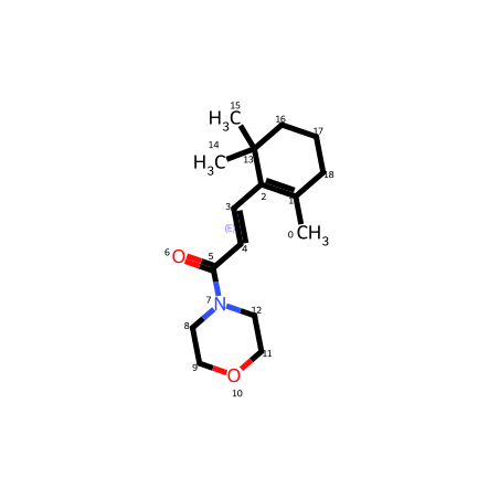 CC1=C(/C=C/C(=O)N2CCOCC2)C(C)(C)CCC1